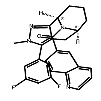 Cn1nc2c(c1-c1cc(F)cc(F)c1)C[C@@H]1CCC[C@H]2N1C(=O)c1ccc2ncccc2c1